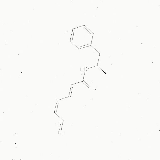 C[C@H](Cc1ccccc1)NC(=O)/C=C/N=C\C=N